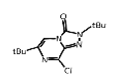 CC(C)(C)c1cn2c(=O)n(C(C)(C)C)nc2c(Cl)n1